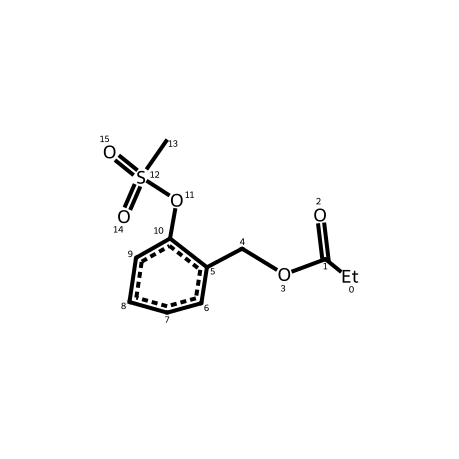 CCC(=O)OCc1ccccc1OS(C)(=O)=O